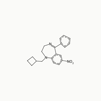 O=[N+]([O-])c1ccc2c(c1)C(c1ccccc1)=NCCN2CC1CCC1